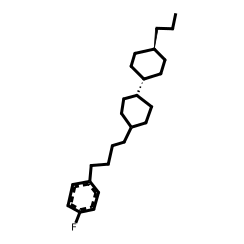 CCC[C@H]1CC[C@H](C2CCC(CCCCc3ccc(F)cc3)CC2)CC1